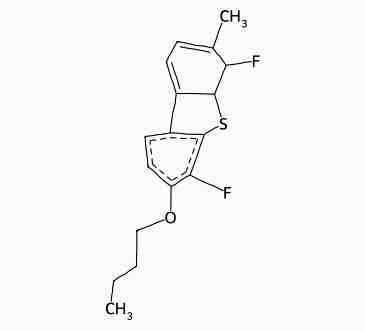 CCCCOc1ccc2c(c1F)SC1C2=CC=C(C)C1F